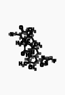 C[C@@H]1C(=O)C(C#N)=C[C@]2(C)C3=CC(=O)[C@@H]4[C@@H]5CC(C)(C)C[C@@H](c6nc(CF)no6)C5CC[C@@]4(C)[C@]3(C)CC[C@@H]12